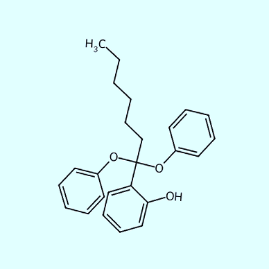 CCCCCCC(Oc1ccccc1)(Oc1ccccc1)c1ccccc1O